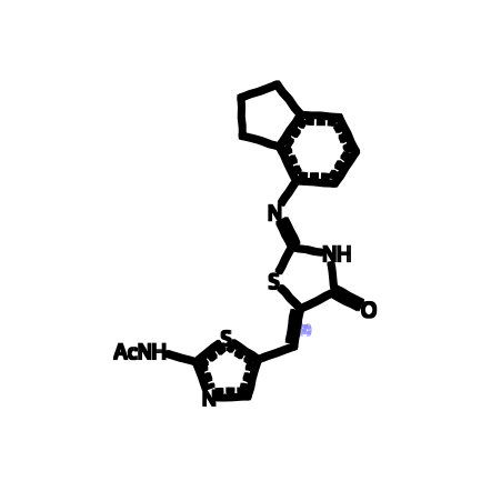 CC(=O)Nc1ncc(/C=C2\SC(=Nc3cccc4c3CCC4)NC2=O)s1